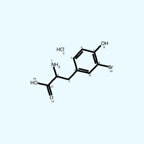 Cl.NC(Cc1ccc(O)c(Br)c1)C(=O)O